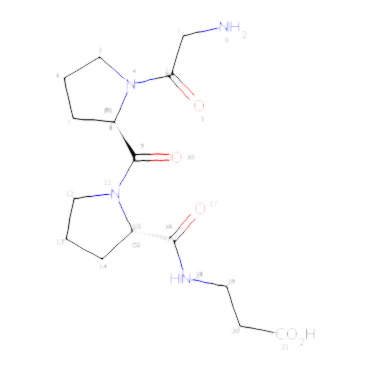 NCC(=O)N1CCC[C@@H]1C(=O)N1CCC[C@H]1C(=O)NCCC(=O)O